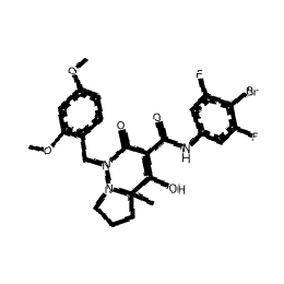 COc1ccc(CN2C(=O)C(C(=O)Nc3cc(F)c(Br)c(F)c3)=C(O)C3(C)CCCN23)c(OC)c1